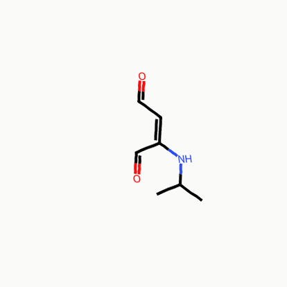 CC(C)N/C(C=O)=C/C=O